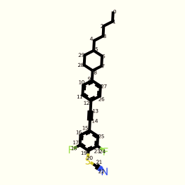 CCCCCC1CCC(c2ccc(C#Cc3cc(F)c(SC#N)c(F)c3)cc2)CC1